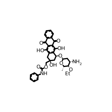 CCO[C@@H]1[C@H](C)O[C@@H](O[C@H]2C[C@](O)(COC(=O)Nc3ccccc3)Cc3c(O)c4c(c(O)c32)C(=O)c2ccccc2C4=O)C[C@@H]1N